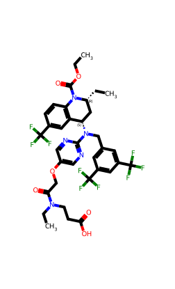 CCOC(=O)N1c2ccc(C(F)(F)F)cc2[C@@H](N(Cc2cc(C(F)(F)F)cc(C(F)(F)F)c2)c2ncc(OCC(=O)N(CC)CCC(=O)O)cn2)C[C@H]1CC